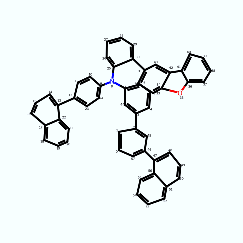 c1cc(-c2cccc(N(c3ccc(-c4cccc5ccccc45)cc3)c3ccccc3-c3ccc4oc5ccccc5c4c3)c2)cc(-c2cccc3ccccc23)c1